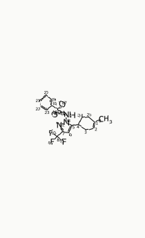 CC1=CCC(c2cc(C(F)(F)F)nn2NS(=O)(=O)c2ccccc2)CC1